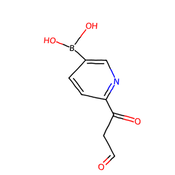 O=CCC(=O)c1ccc(B(O)O)cn1